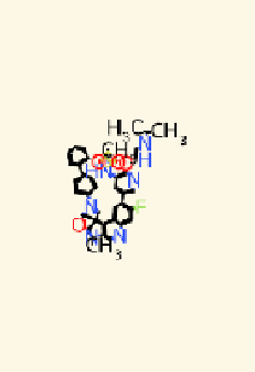 CC(C)NCCOc1ncc(-c2cc3c4c(cnc3cc2F)N(C)C(=O)C42CN(c3ccc(-c4ccccc4)cc3)C2)cc1NS(C)(=O)=O